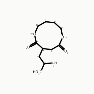 O=C1CC(CC(O)C(=O)O)C(=O)OCCCCO1